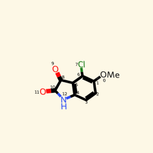 COc1ccc2c(c1Cl)C(=O)C(=O)N2